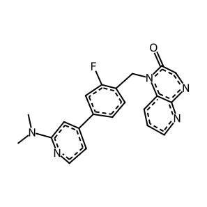 CN(C)c1cc(-c2ccc(Cn3c(=O)cnc4ncccc43)c(F)c2)ccn1